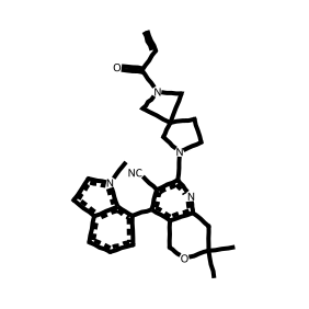 C=CC(=O)N1CC2(CCN(c3nc4c(c(-c5cccc6ccn(C)c56)c3C#N)COC(C)(C)C4)C2)C1